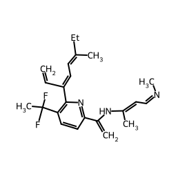 C=C/C(=C\C=C(/C)CC)c1nc(C(=C)N/C(C)=C/C=N\C)ccc1C(C)(F)F